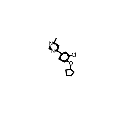 Cc1cc(-c2ccc(OC3CCCC3)c(Cl)c2)ncn1